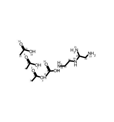 CC(=O)O.CC(=O)O.CC(=O)O.CC(=O)O.NCCNC(N)CN